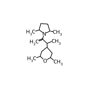 C=C(C(C)C1CC(C)OC(C)C1)N1C(C)CC[C@H]1C